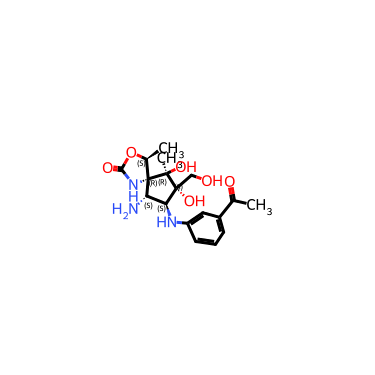 CC(=O)c1cccc(N[C@H]2[C@H](N)[C@]3(NC(=O)O[C@H]3C)[C@@](C)(O)[C@@]2(O)CO)c1